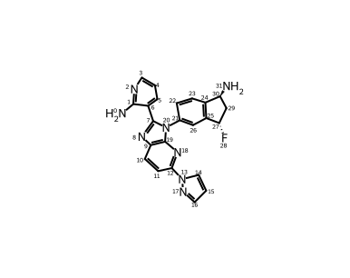 Nc1ncccc1-c1nc2ccc(-n3cccn3)nc2n1-c1ccc2c(c1)[C@@H](F)C[C@@H]2N